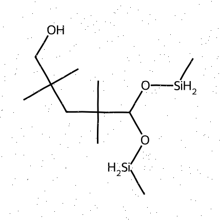 C[SiH2]OC(O[SiH2]C)C(C)(C)CC(C)(C)CO